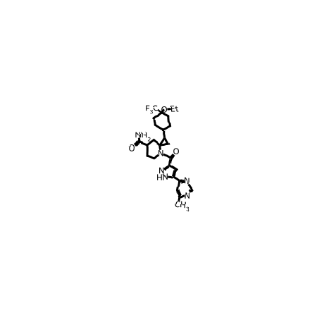 CCOC1(C(F)(F)F)CCC(C2CC23CC(C(N)=O)CCN3C(=O)c2cc(-c3cc(C)ncn3)[nH]n2)CC1